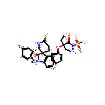 CCC(CC)(Oc1ccc(Cl)cc1[C@H]1CC(=S)N[C@@H](c2cc(F)ccc2C)[C@]12C(=O)Nc1cc(Cl)ccc12)C(=O)NS(C)(=O)=O